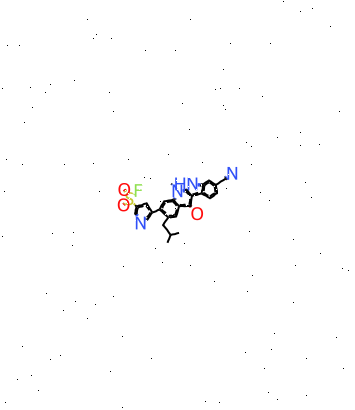 CC(C)Cc1cc2c(=O)c3c4ccc(C#N)cc4[nH]c3n(C)c2cc1-c1cncc(S(=O)(=O)F)c1